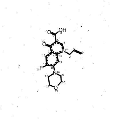 C=CCn1cc(C(=O)O)c(=O)c2cc(F)c(N3CCOCC3)cc21